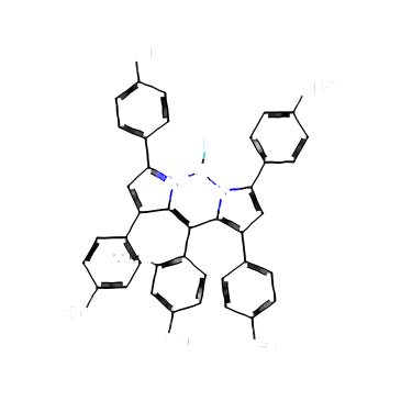 COc1cc(C(C)(C)C)ccc1C1=C2C(c3ccc(C(C)(C)C)cc3)=CC(c3ccc(C=O)cc3)=[N+]2B(F)n2c(-c3ccc(C=O)cc3)cc(-c3ccc(C(C)(C)C)cc3)c21